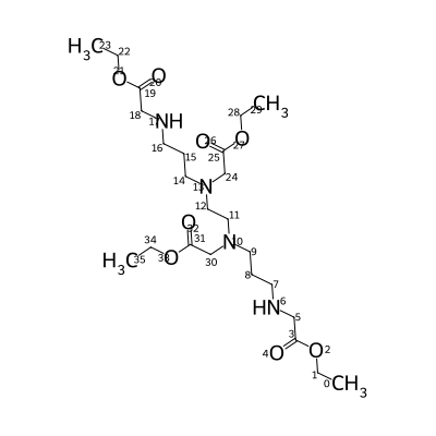 CCOC(=O)CNCCCN(CCN(CCCNCC(=O)OCC)CC(=O)OCC)CC(=O)OCC